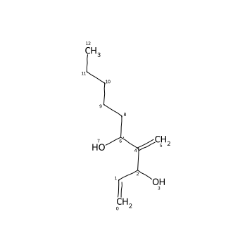 C=CC(O)C(=C)[C](O)CCCCC